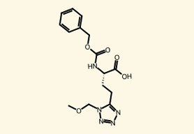 COCn1nnnc1CC[C@H](NC(=O)OCc1ccccc1)C(=O)O